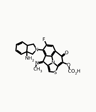 CN=c1c2c(N3CC4C=CC=CC4(N)C3)c(F)cc3c(=O)c(OC(=O)O)c4scc1n4c32